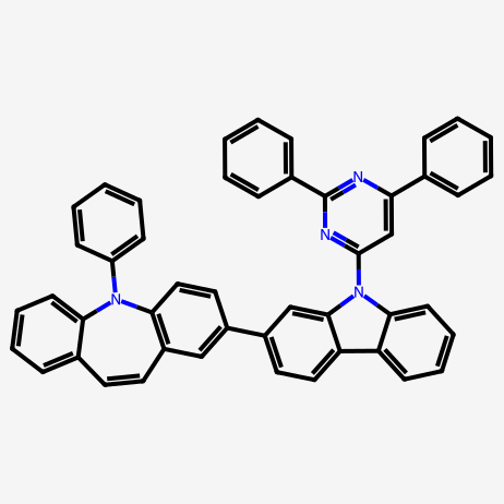 C1=Cc2cc(-c3ccc4c5ccccc5n(-c5cc(-c6ccccc6)nc(-c6ccccc6)n5)c4c3)ccc2N(c2ccccc2)c2ccccc21